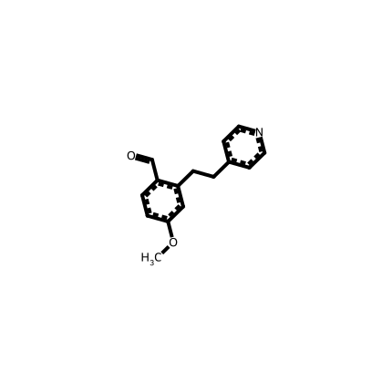 COc1ccc(C=O)c(CCc2ccncc2)c1